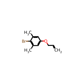 C=CCOc1cc(C)c(Br)c(C)c1